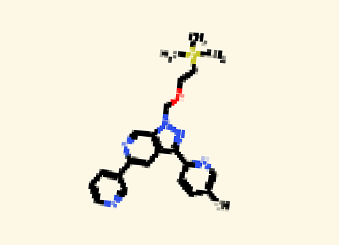 Cc1ccc(-c2nn(COCCS(C)(C)C)c3cnc(-c4cccnc4)cc23)nc1